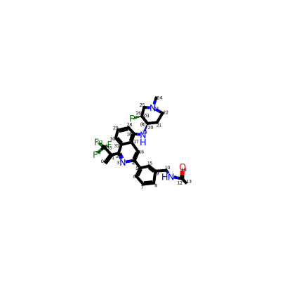 C=C(c1nc(-c2cccc(CNC(C)=O)c2)cc2c(N[C@@H]3CCN(C)C[C@@H]3F)cccc12)C(F)(F)F